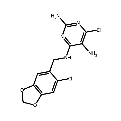 Nc1nc(Cl)c(N)c(NCc2cc3c(cc2Cl)OCO3)n1